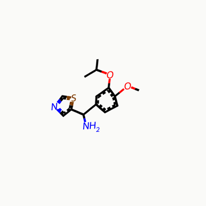 COc1ccc(C(N)c2cncs2)cc1OC(C)C